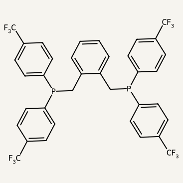 FC(F)(F)c1ccc(P(Cc2ccccc2CP(c2ccc(C(F)(F)F)cc2)c2ccc(C(F)(F)F)cc2)c2ccc(C(F)(F)F)cc2)cc1